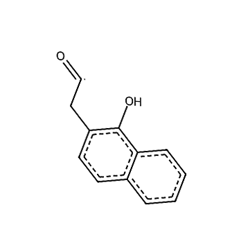 O=[C]Cc1ccc2ccccc2c1O